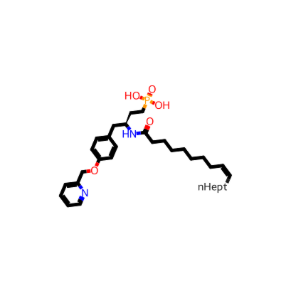 CCCCCCC/C=C\CCCCCCCC(=O)N[C@H](CCP(=O)(O)O)Cc1ccc(OCc2ccccn2)cc1